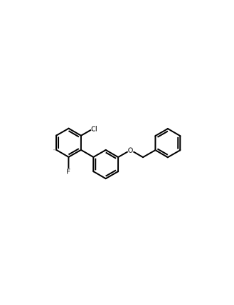 Fc1[c]ccc(Cl)c1-c1cccc(OCc2ccccc2)c1